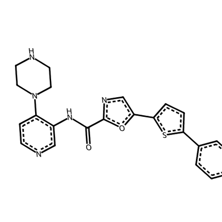 O=C(Nc1cnccc1N1CCNCC1)c1ncc(-c2ccc(-c3ccccc3)s2)o1